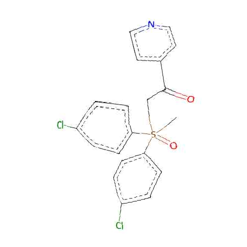 CS(=O)(CC(=O)c1ccncc1)(c1ccc(Cl)cc1)c1ccc(Cl)cc1